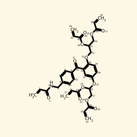 C=CC(=O)NCc1ccc(C(=O)c2cc(OC(COC(=O)C=C)OC(=O)C=C)ccc2OCC(COC(=O)C=C)OC(=O)C=C)cc1